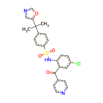 CC(C)(c1ccc(S(=O)(=O)Nc2ccc(Cl)cc2C(=O)c2ccncc2)cc1)c1cnco1